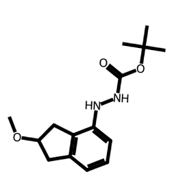 COC1Cc2cccc(NNC(=O)OC(C)(C)C)c2C1